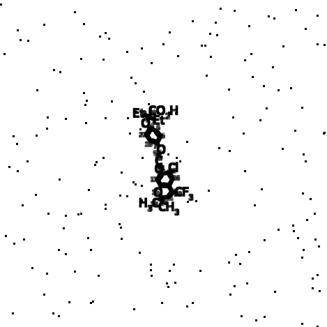 CCC(CC)(Oc1ccc(OCCOc2cc3c(cc2Cl)C(C(F)(F)F)=CC(C)(C)O3)cc1)C(=O)O